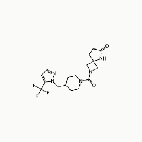 O=C1CCC2(CN(C(=O)N3CCC(Cn4nccc4C(F)(F)F)CC3)C2)N1